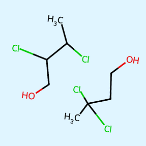 CC(Cl)(Cl)CCO.CC(Cl)C(Cl)CO